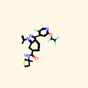 CC(C)n1nc(-c2cc(OC(F)C(F)F)ncc2F)c2c1CC(C(=O)NC1(C)CCSC1)CC2